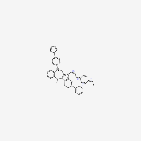 C=CC(/C=C\C=C/C)=C\C=C/n1c2c(c3c1CN(c1ccc(C4C=CC=C4)cc1)c1ccccc1C3C)CCC(C1=CC=CCC1)=C2